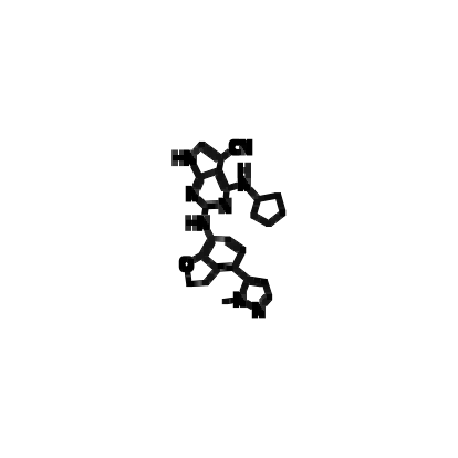 Cn1nccc1-c1ccc(Nc2nc(NC3CCCC3)c3c(C#N)c[nH]c3n2)c2c1CCO2